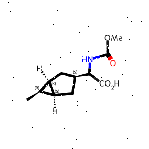 COC(=O)NC(C(=O)O)[C@@H]1C[C@@H]2[C@H](C)[C@@H]2C1